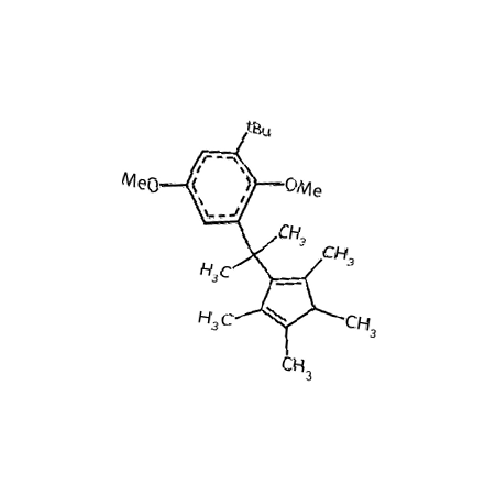 COc1cc(C(C)(C)C)c(OC)c(C(C)(C)C2=C(C)C(C)C(C)=C2C)c1